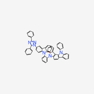 c1ccc(-c2nc(-c3ccccc3)n(-c3ccc4c(c3)c3ccccc3n4-c3ccccc3-n3c4ccccc4c4c3ccc3c5ccccc5n(-c5ccccc5)c34)n2)cc1